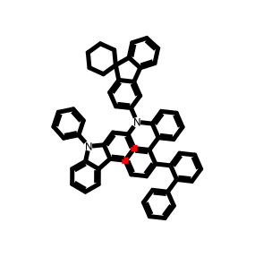 c1ccc(-c2ccccc2-c2ccccc2-c2ccccc2N(c2ccc3c(c2)-c2ccccc2C32CCCCC2)c2ccc3c4ccccc4n(-c4ccccc4)c3c2)cc1